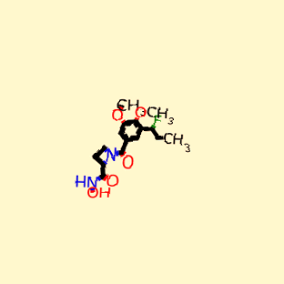 CCC(F)c1cc(C(=O)N2CCC2C(=O)NO)cc(OC)c1OC